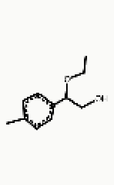 CCOC(CO)c1ccc(C)cc1